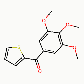 COc1cc(C(=O)c2cccs2)cc(OC)c1OC